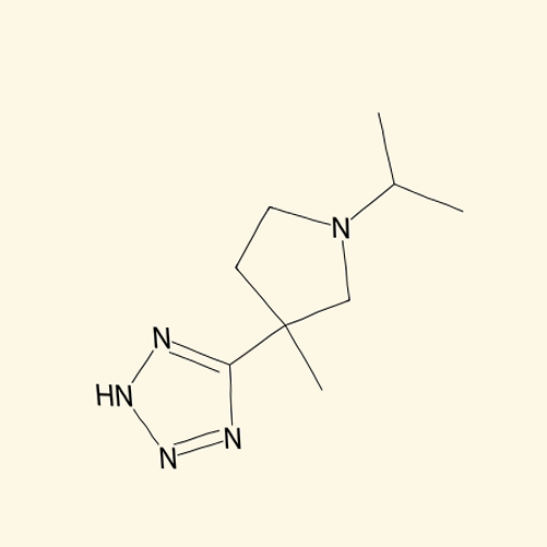 CC(C)N1CCC(C)(c2nn[nH]n2)C1